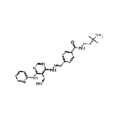 CC(C)(N)CCNC(=O)c1ccc(/C=N/Nc2ncnc(Nc3ccccn3)c2C=N)cc1